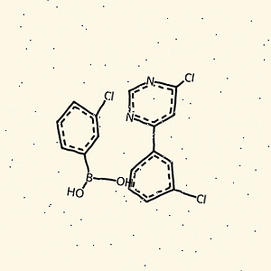 Clc1cccc(-c2cc(Cl)ncn2)c1.OB(O)c1cccc(Cl)c1